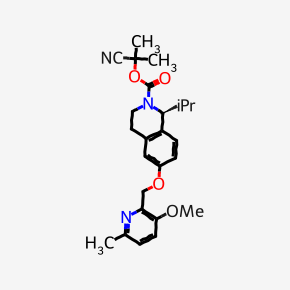 COc1ccc(C)nc1COc1ccc2c(c1)CCN(C(=O)OC(C)(C)C#N)[C@H]2C(C)C